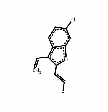 C=Cc1c(/C=C/F)oc2cc(Cl)ccc12